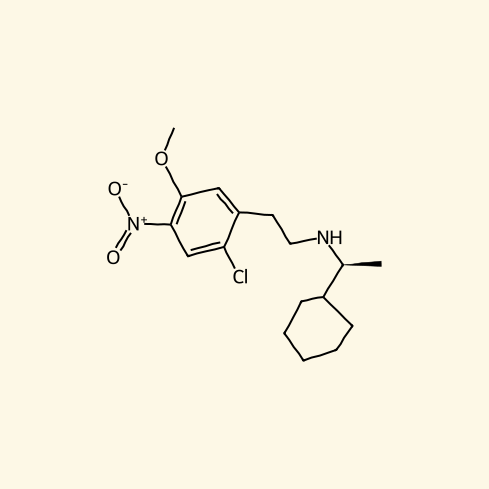 COc1cc(CCN[C@@H](C)C2CCCCC2)c(Cl)cc1[N+](=O)[O-]